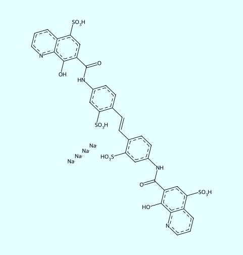 O=C(Nc1ccc(C=Cc2ccc(NC(=O)c3cc(S(=O)(=O)O)c4cccnc4c3O)cc2S(=O)(=O)O)c(S(=O)(=O)O)c1)c1cc(S(=O)(=O)O)c2cccnc2c1O.[Na].[Na].[Na].[Na]